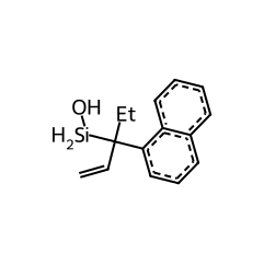 C=CC(CC)([SiH2]O)c1cccc2ccccc12